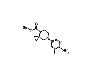 Cc1cc(N2CCN(C(=O)OC(C)(C)C)C3(CC3)C2)cnc1N